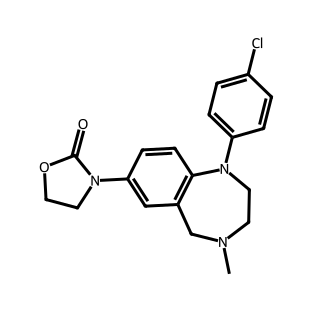 CN1CCN(c2ccc(Cl)cc2)c2ccc(N3CCOC3=O)cc2C1